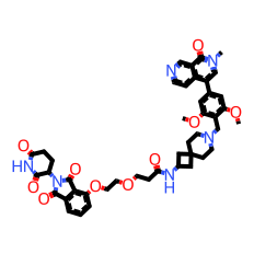 COc1cc(-c2cn(C)c(=O)c3cnccc23)cc(OC)c1CN1CCC2(CC1)CC(NC(=O)CCOCCOc1cccc3c1C(=O)N(C1CCC(=O)NC1=O)C3=O)C2